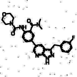 CN(C)C(=O)c1cc(-c2cnc3[nH]nc(Cc4cccc(F)c4)c3c2)ccc1NC(=O)N1CCOCC1